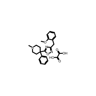 COc1ccccc1Cc1noc(C2(c3ccccc3)CCN(C)CC2)n1.O=C(O)C(=O)O